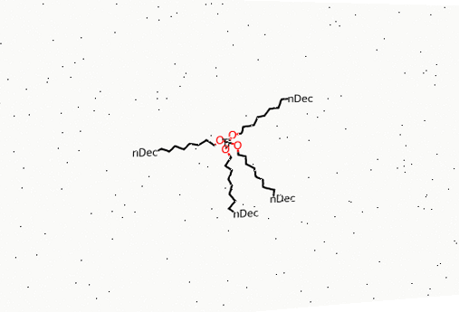 CCCCCCCCCCCCCCCCCC[O][Ti]([O]CCCCCCCCCCCCCCCCCC)([O]CCCCCCCCCCCCCCCCCC)[O]CCCCCCCCCCCCCCCCCC